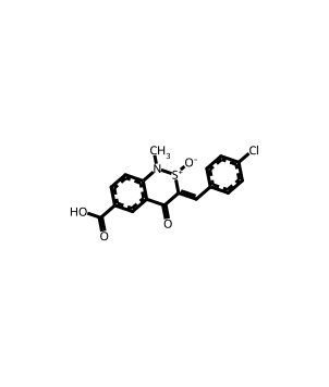 CN1c2ccc(C(=O)O)cc2C(=O)/C(=C/c2ccc(Cl)cc2)[S+]1[O-]